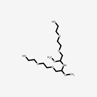 COC(COCCOCCO)NC(COCCOCCO)OC